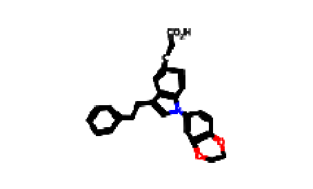 O=C(O)CCc1ccc2c(c1)c(CCc1ccccc1)cn2-c1ccc2c(c1)OCCO2